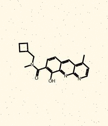 Cc1ccnc2nc3c(O)c(C(=O)N(C)CC4CCC4)ccc3cc12